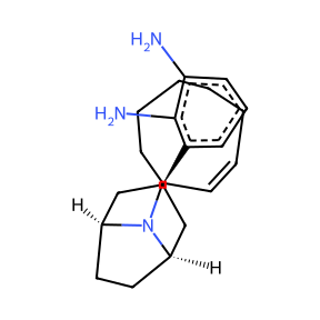 Nc1cccc([C@H]2C[C@H]3CC[C@@H](C2)N3C2/C=C\CCCCC2)c1N